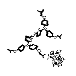 CC(C)COc1ccc([S+](c2ccc(OCC(C)C)cc2)c2ccc(Sc3ccc([S+](c4ccc(OCC(C)C)cc4)c4ccc(OCC(C)C)cc4)s3)s2)cc1.O=S(=O)([O-])C(F)(F)F.O=S(=O)([O-])C(F)(F)F